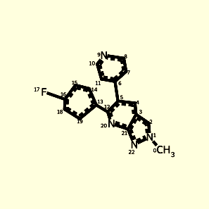 Cn1cc2cc(-c3ccncc3)c(-c3ccc(F)cc3)nc2n1